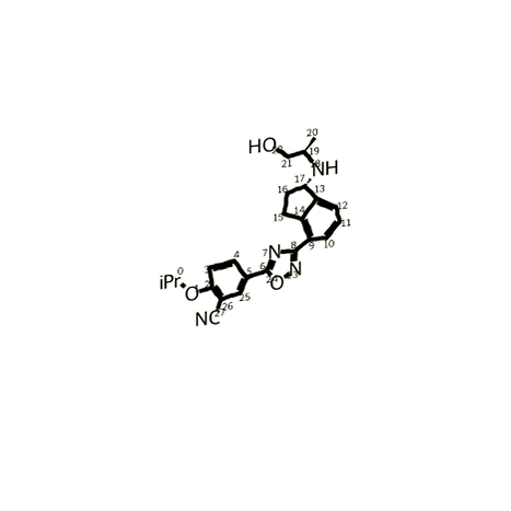 CC(C)Oc1ccc(-c2nc(-c3cccc4c3CC[C@@H]4N[C@H](C)CO)no2)cc1C#N